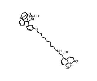 O=C(O)NC(c1cccc(OCCCCCCCCCNC[C@H](O)c2ccc(O)c3[nH]c(=O)ccc23)c1)(c1cccs1)[C@H]1CN2CCC1CC2